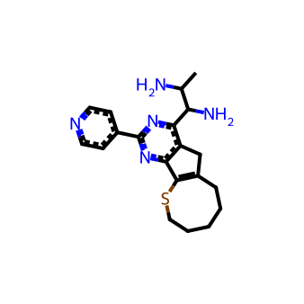 CC(N)C(N)c1nc(-c2ccncc2)nc2c1CC1=C2SCCCCC1